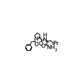 CC(C)C[C@H](NC(=O)[C@@H]1CCCN1C(=O)Cc1ccccc1)C(N)=O